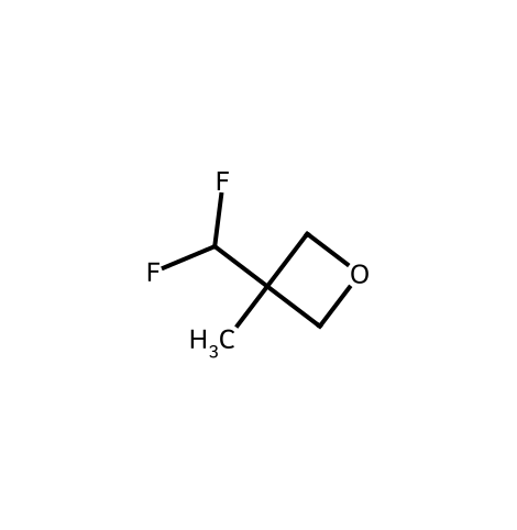 CC1(C(F)F)COC1